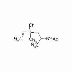 C=CC(C)(CC)CC(C)NC(C)=O